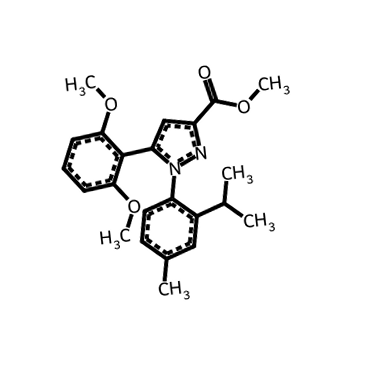 COC(=O)c1cc(-c2c(OC)cccc2OC)n(-c2ccc(C)cc2C(C)C)n1